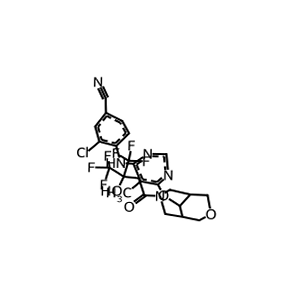 Cc1c(Nc2ccc(C#N)cc2Cl)ncnc1OC1C2COCC1CN(C(=O)CC(O)(C(F)(F)F)C(F)(F)F)C2